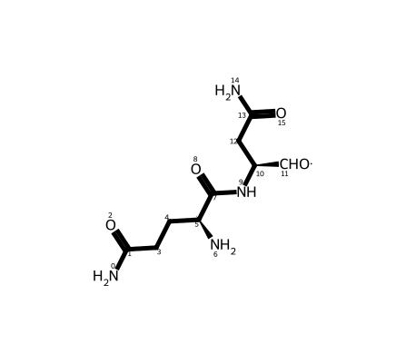 NC(=O)CC[C@H](N)C(=O)N[C@H]([C]=O)CC(N)=O